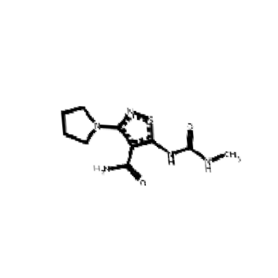 CNC(=O)Nc1snc(N2CCCC2)c1C(N)=O